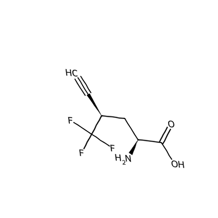 C#C[C@@H](C[C@H](N)C(=O)O)C(F)(F)F